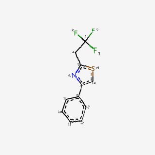 FC(F)(F)Cc1nc(-c2cc[c]cc2)cs1